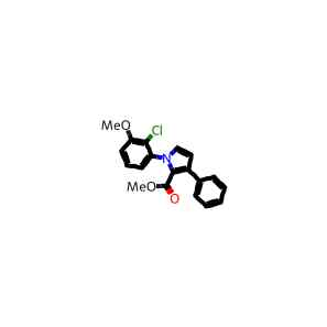 COC(=O)c1c(-c2ccccc2)ccn1-c1cccc(OC)c1Cl